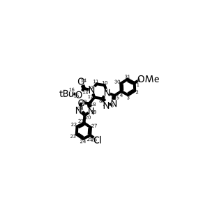 COc1ccc(-c2nnc3n2CCN(C(=O)OC(C)(C)C)C3c2nc(-c3cccc(Cl)c3)no2)cc1